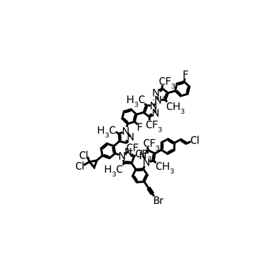 CC1=C(c2cccc(F)c2)C(C(F)(F)F)=N[N+]1n1nc(C(F)(F)F)c(-c2cccc(-n3nc(C(F)(F)F)c(-c4ccc(C5CC5(Cl)Cl)cc4-n4nc(C(F)(F)F)c(-c5ccc(C#CBr)cc5-n5nc(C(F)(F)F)c(-c6ccc(C=CCl)cc6)c5C)c4C)c3C)c2F)c1C